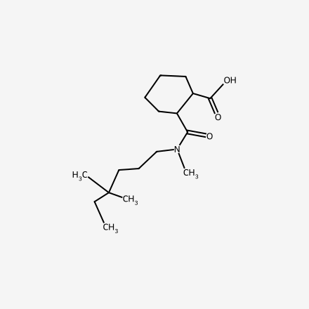 CCC(C)(C)CCCN(C)C(=O)C1CCCCC1C(=O)O